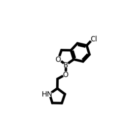 Clc1ccc2c(c1)COB2OCC1CCCN1